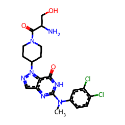 CN(c1ccc(Cl)c(Cl)c1)c1nc2cnn(C3CCN(C(=O)C(N)CO)CC3)c2c(=O)[nH]1